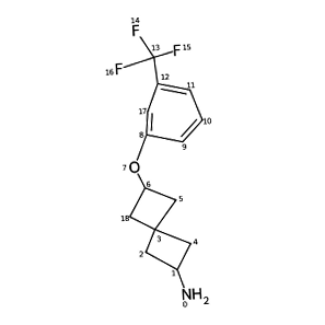 NC1CC2(C1)CC(Oc1cccc(C(F)(F)F)c1)C2